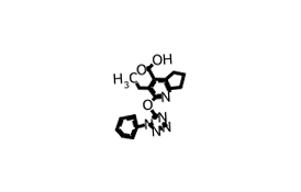 CCc1c(Oc2nnnn2-c2ccccc2)nc2c(c1C(=O)O)CCC2